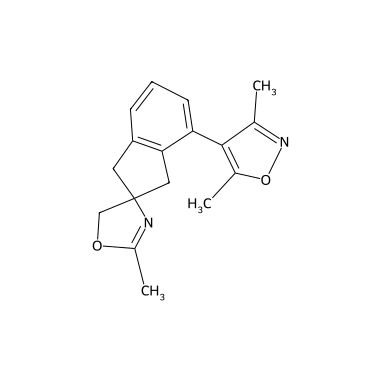 CC1=NC2(CO1)Cc1cccc(-c3c(C)noc3C)c1C2